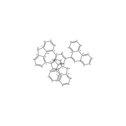 c1ccc(-c2nc(-c3cc4ccccc4c4ccccc34)nc(-c3cccc4oc5cccc(-c6ccc7oc8ccccc8c7c6)c5c34)n2)cc1